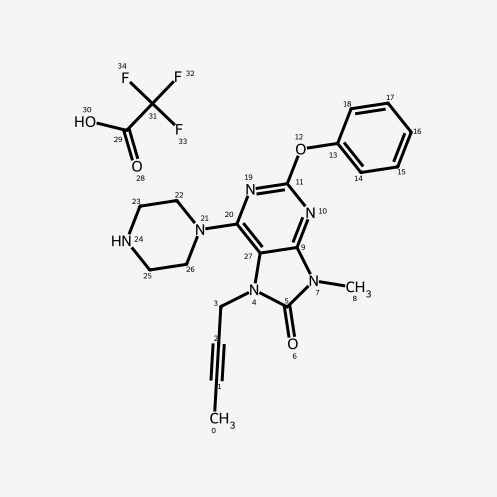 CC#CCn1c(=O)n(C)c2nc(Oc3ccccc3)nc(N3CCNCC3)c21.O=C(O)C(F)(F)F